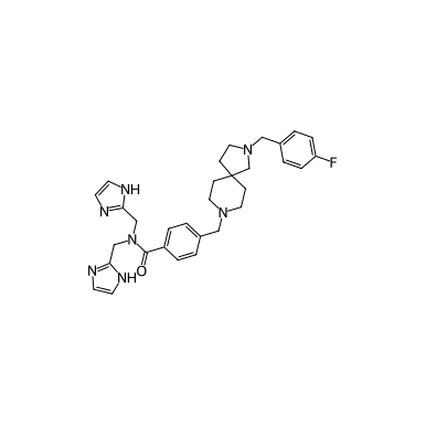 O=C(c1ccc(CN2CCC3(CC2)CCN(Cc2ccc(F)cc2)C3)cc1)N(Cc1ncc[nH]1)Cc1ncc[nH]1